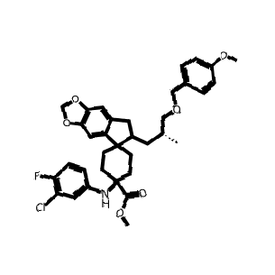 COC(=O)C1(Nc2ccc(F)c(Cl)c2)CCC2(CC1)c1cc3c(cc1CC2C[C@@H](C)COCc1ccc(OC)cc1)OCO3